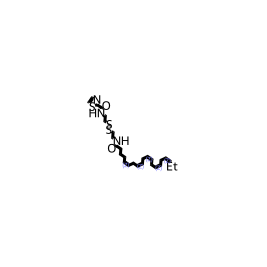 CC/C=C\C/C=C\C/C=C\C/C=C\C/C=C\CCCC(=O)NCCSSCCNC(=O)c1nccs1